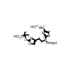 CCCCCCCN(CCc1csc(SC(C)(C)C(=O)O)n1)c1nc(C(C)(C)C)cs1.Cl